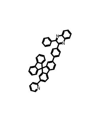 c1ccc(-c2nc3ccccc3nc2-c2ccc(-c3ccc4c(c3)C3(c5ccccc5-c5ccccc53)c3cc(-c5ccccn5)ccc3-4)cc2)cc1